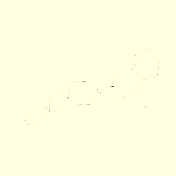 C/N=C\NCC1(O)CCN(C(=O)C[C@H](c2ccccc2)C(F)(F)F)CC1